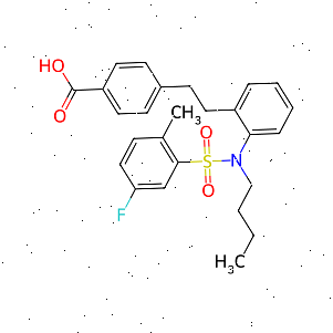 CCCCN(c1ccccc1CCc1ccc(C(=O)O)cc1)S(=O)(=O)c1cc(F)ccc1C